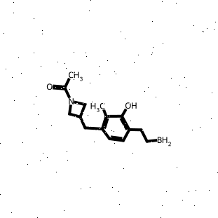 BCCc1ccc(CC2CN(C(C)=O)C2)c(C)c1O